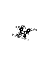 C=C1C[C@@H](c2nc3cc(OC)ccc3[nH]2)N(C(=O)c2nc(N(C)C)sc2-c2ccc(C)c(C)c2)C1